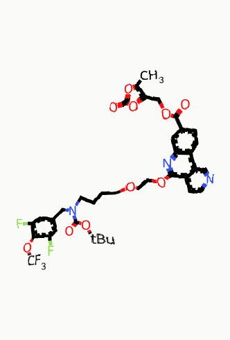 Cc1oc(=O)oc1COC(=O)c1ccc2c(c1)nc(OCCOCCCCN(Cc1cc(F)c(OC(F)(F)F)c(F)c1)C(=O)OC(C)(C)C)c1ccncc12